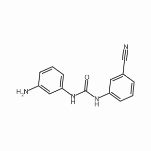 N#Cc1cccc(NC(=O)Nc2cccc(N)c2)c1